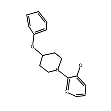 [O]c1cccnc1N1CCC(Oc2ccccc2)CC1